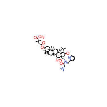 CC(C)C1=C2[C@H]3CC[C@@H]4[C@@]5(C)CC[C@H](OC(=O)CC(C)(C)C(=O)O)C(C)(C)[C@@H]5CC[C@@]4(C)[C@]3(C)CCC2(C(O)CN(C(=O)CN(C)C)[C@@H](C)c2ccccn2)CC1=O